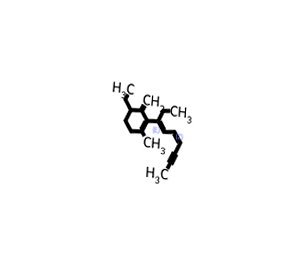 C=C1C(/C(=C/C=C\C#CC)CC)=C(C)CCC1CC